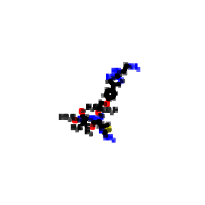 CC(COc1ccc(C2CN=C(NCCN)NC2)cc1)(O/N=C(\C(=O)N[C@@H]1C(=O)N(OS(=O)(=O)O)C1(C)C)c1csc(N)n1)C(=O)O